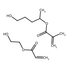 C=C(C)C(=O)OC(C)CCCO.C=CC(=O)OCCO